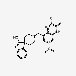 O=C(O)C1(c2ccccc2)CCN(Cc2cc([N+](=O)[O-])cc3[nH]c(=O)c(=O)[nH]c23)CC1